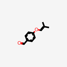 CC(C)=COc1ccc(C=O)cc1